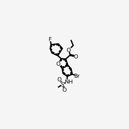 CCOC(=O)c1c(-c2ccc(F)cc2)oc2cc(NS(C)(=O)=O)c(Br)cc12